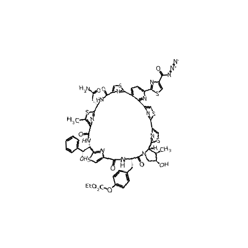 CCOC(=O)Oc1ccc(C[C@@H]2NC(=O)c3csc(n3)[C@H]([C@H](O)c3ccccc3)NC(=O)c3nc(sc3C)[C@H](CC(N)=O)NC(=O)c3csc(n3)-c3ccc(-c4nc(C(=O)N=[N+]=[N-])cs4)nc3-c3csc(n3)-c3csc(n3)[C@@H]3[C@@H](C)[C@@H](O)CN3C2=O)cc1